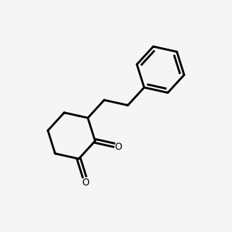 O=C1CCCC(CCc2ccccc2)C1=O